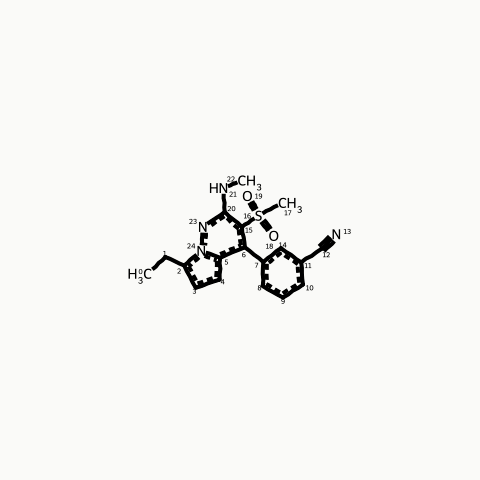 CCc1ccc2c(-c3cccc(C#N)c3)c(S(C)(=O)=O)c(NC)nn12